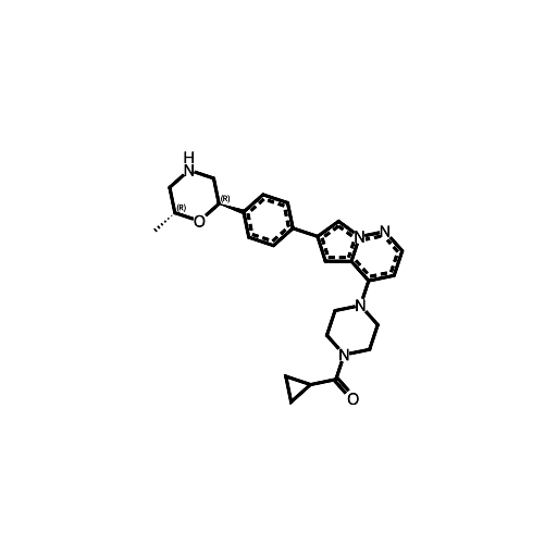 C[C@@H]1CNC[C@@H](c2ccc(-c3cc4c(N5CCN(C(=O)C6CC6)CC5)ccnn4c3)cc2)O1